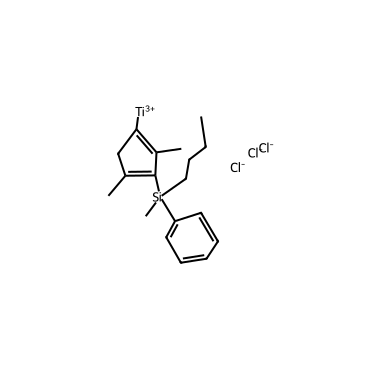 CCCC[Si](C)(C1=C(C)C[C]([Ti+3])=C1C)c1ccccc1.[Cl-].[Cl-].[Cl-]